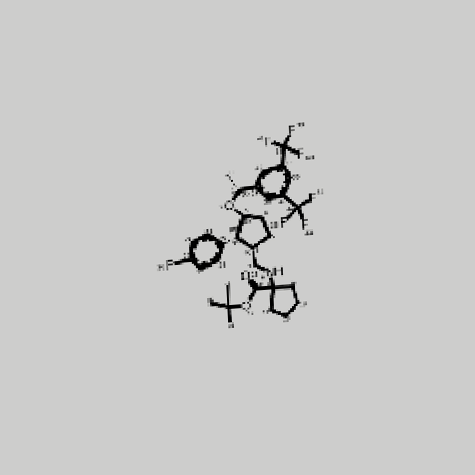 C[C@@H](O[C@H]1CC[C@@H](CNC2(C(=O)OC(C)(C)C)CCCC2)[C@@H]1c1ccc(F)cc1)c1cc(C(F)(F)F)cc(C(F)(F)F)c1